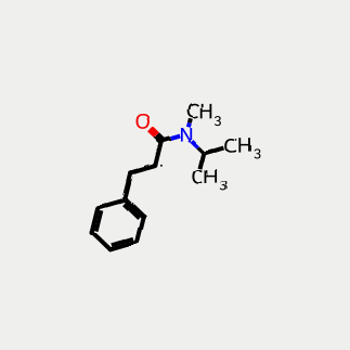 CC(C)N(C)C(=O)[CH]Cc1ccccc1